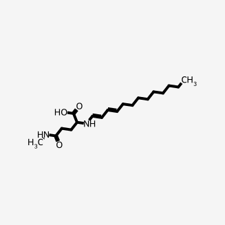 CCCCCCCCC/C=C/C=C/NC(CCC(=O)NC)C(=O)O